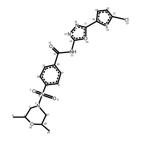 CC1CN(S(=O)(=O)c2ccc(C(=O)Nc3nnc(-c4ccc(Cl)s4)o3)cc2)CC(C)O1